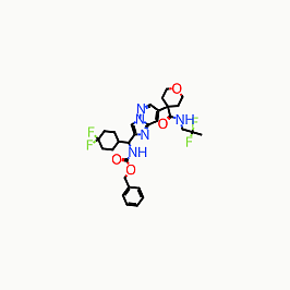 CC(F)(F)CNC(=O)C1(c2cnn3cc(C(NC(=O)OCc4ccccc4)C4CCC(F)(F)CC4)nc3c2)CCOCC1